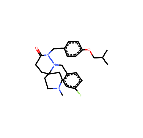 CC(C)COc1ccc(CN2C(=O)CCC3(CCN(C)CC3)N2Cc2ccc(F)cc2)cc1